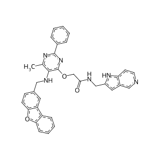 Cc1nc(-c2ccccc2)nc(OCC(=O)NCc2cc3cnccc3[nH]2)c1NCc1ccc2oc3ccccc3c2c1